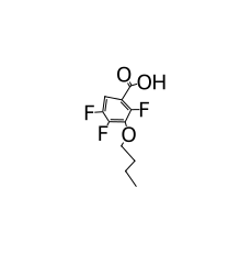 CCCCOc1c(F)c(F)cc(C(=O)O)c1F